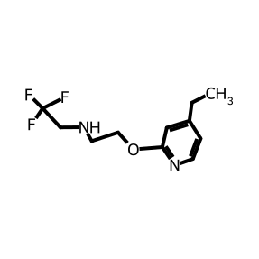 CCc1ccnc(OCCNCC(F)(F)F)c1